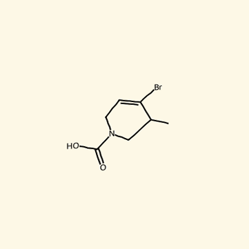 CC1CN(C(=O)O)CC=C1Br